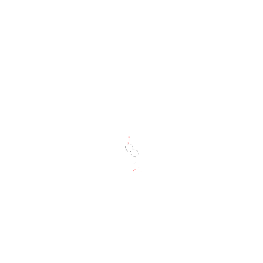 CCCCCCCCCC[C@H]1CC[C@@H](COc2ccc3cc(C=CC(=O)O)ccc3c2)CC1